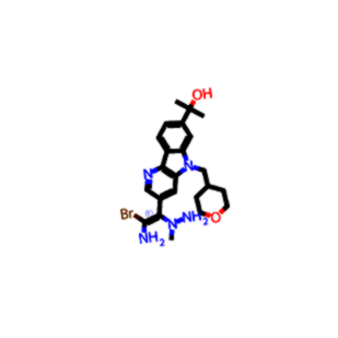 CN(N)/C(=C(\N)Br)c1cnc2c3ccc(C(C)(C)O)cc3n(CC3CCOCC3)c2c1